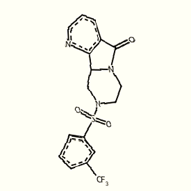 O=C1c2cccnc2C2CN(S(=O)(=O)c3cccc(C(F)(F)F)c3)CCN12